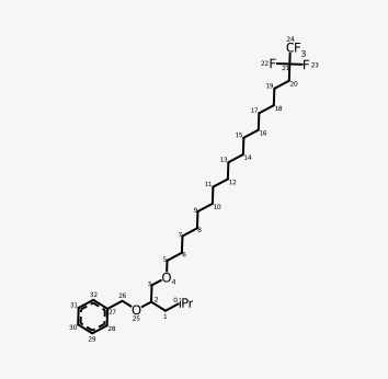 CC(C)CC(COCCCCCCCCCCCCCCCCC(F)(F)C(F)(F)F)OCc1ccccc1